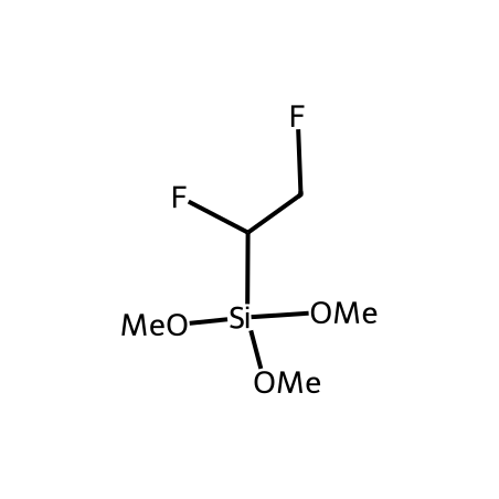 CO[Si](OC)(OC)C(F)CF